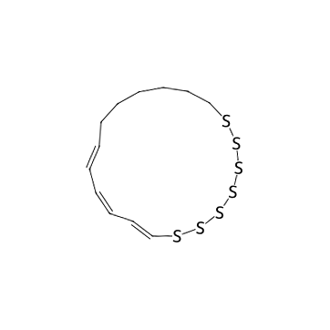 C1=C\C=C\SSSSSSSCCCCCC/C=C/1